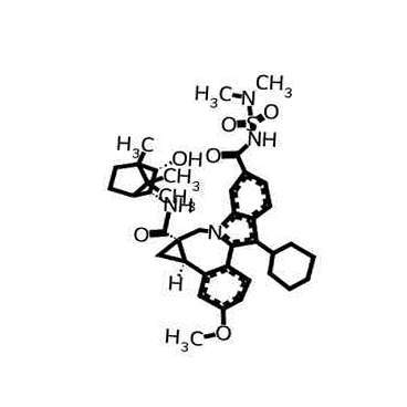 COc1ccc2c(c1)[C@H]1C[C@@]1(C(=O)N[C@@H]1C3CCC(C)([C@@H]1O)C3(C)C)Cn1c-2c(C2CCCCC2)c2ccc(C(=O)NS(=O)(=O)N(C)C)cc21